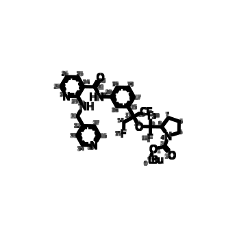 CC(C)(C)OC(=O)N1CCCC1C(F)(F)OC(CF)(c1cccc(NC(=O)c2cccnc2NCc2ccncc2)c1)C(F)(F)F